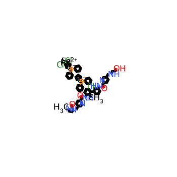 Cc1c(NC(=O)c2ccc(CN3CCN(C)C3=O)cn2)cccc1-c1cccc(NC(=O)c2ccc(CNCCO)cn2)c1Cl.[Cl][Pd][Cl].[Fe+2].c1ccc(P(c2ccccc2)[c-]2cccc2)cc1.c1ccc(P(c2ccccc2)[c-]2cccc2)cc1